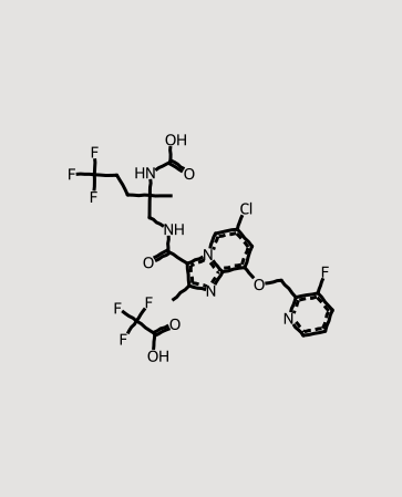 Cc1nc2c(OCc3ncccc3F)cc(Cl)cn2c1C(=O)NCC(C)(CCC(F)(F)F)NC(=O)O.O=C(O)C(F)(F)F